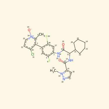 Cc1c(-c2cc(F)c(NC(=O)C(NC(=O)c3ccnn3C)C3CCCCC3)cc2F)c(Cl)cc[n+]1[O-]